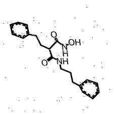 O=C(NO)C(CCc1ccccc1)C(=O)NCCCc1ccccc1